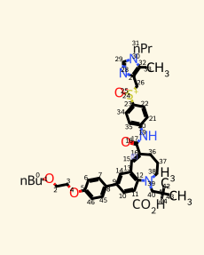 CCCCOCCOc1ccc(-c2ccc3c(c2)/C=C(/C(=O)Nc2ccc([S+]([O-])Cc4ncn(CCC)c4C)cc2)CCCN3CC(C)(C)C(=O)O)cc1